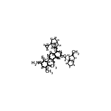 C=C1CN2CCC[C@@]2(COc2nc(N3CC4CCC(C5CC5)(C3)N4)c3cnc(-c4c(F)c(N)cc(C)c4C(F)(F)F)c(F)c3n2)C1